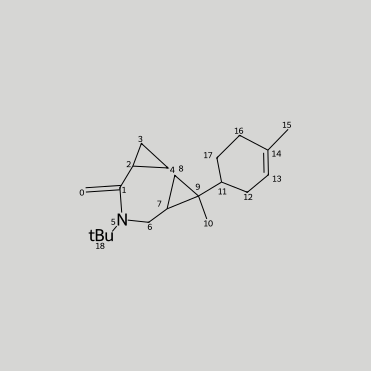 C=C(C1CC1)N(CC1CC1(C)C1CC=C(C)CC1)C(C)(C)C